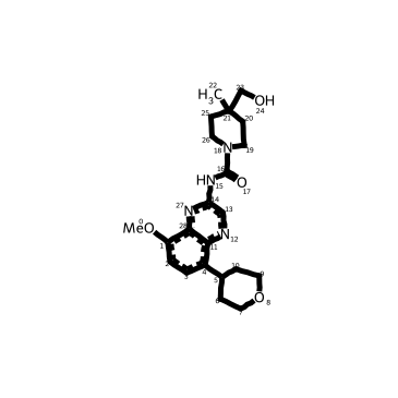 COc1ccc(C2CCOCC2)c2ncc(NC(=O)N3CCC(C)(CO)CC3)nc12